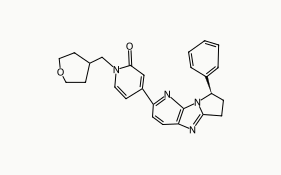 O=c1cc(-c2ccc3nc4n(c3n2)[C@@H](c2ccccc2)CC4)ccn1CC1CCOCC1